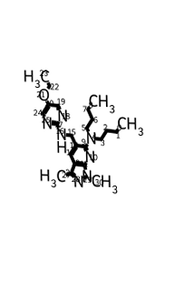 CCCCN(CCCC)c1nc2c(cc1CNc1ncc(OCC)cn1)c(C)nn2C